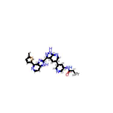 Cc1ccc(-c2nccc3[nH]c(-c4n[nH]c5ncc(-c6cncc(NC(=O)CC(C)C)c6)cc45)nc23)s1